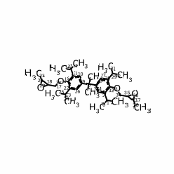 CC(C)c1cc(C(C)(C)c2cc(C(C)C)c(OCC3OC3C)c(C(C)C)c2)cc(C(C)C)c1OCC1OC1C